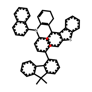 CC1(C)c2ccccc2-c2c(-c3ccc(N(C4=C(c5cccc6sc7ccccc7c56)CCC=C4)c4cccc5ccccc45)cc3)cccc21